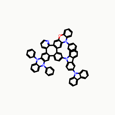 c1ccc(-n2c3ccccc3oc3cc4c(cc32)c2cc(-n3c5ccccc5c5cc(-n6c7ccccc7c7ccccc76)ccc53)ccc2c2cc3c(cc2c2cccnc24)n(-c2ccccc2)c2ccccc2n3-c2ccccc2)cc1